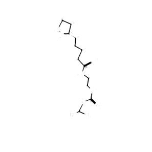 CC(Cl)OC(=O)OCCOC(=O)CCCC[C@@H]1CCSS1